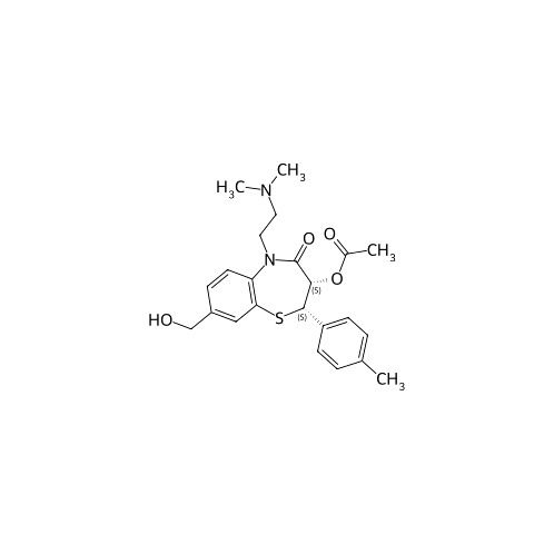 CC(=O)O[C@H]1C(=O)N(CCN(C)C)c2ccc(CO)cc2S[C@H]1c1ccc(C)cc1